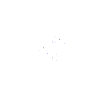 O[C@H](CN1c2ccccc2N(Cc2ncccc2N2CCOCC2)C[C@H]1c1cccc(C(F)(F)F)c1)C(F)(F)F